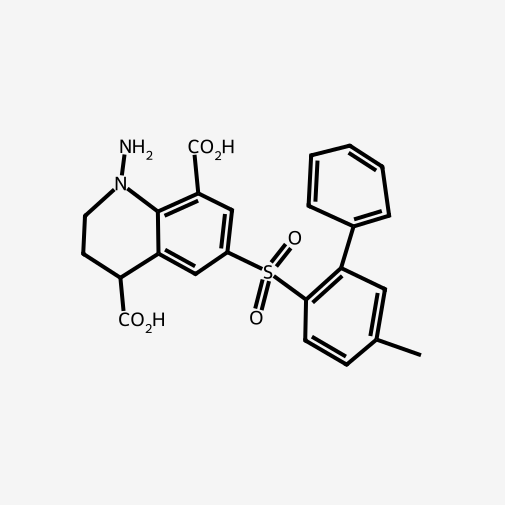 Cc1ccc(S(=O)(=O)c2cc(C(=O)O)c3c(c2)C(C(=O)O)CCN3N)c(-c2ccccc2)c1